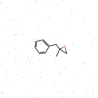 CC1(Cc2ccccc2)CO1